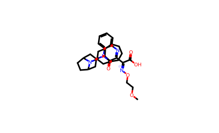 COCCO/N=C(\C(=O)O)c1nc2ccccc2n(C2CC3CCC(C2)N3C2CC3CCCCC(C3)C2)c1=O